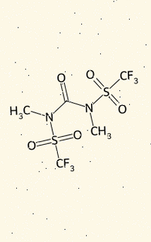 CN(C(=O)N(C)S(=O)(=O)C(F)(F)F)S(=O)(=O)C(F)(F)F